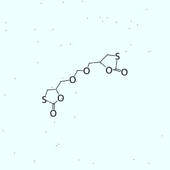 O=C1OC(COCOCC2CSC(=O)O2)CS1